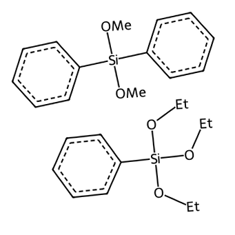 CCO[Si](OCC)(OCC)c1ccccc1.CO[Si](OC)(c1ccccc1)c1ccccc1